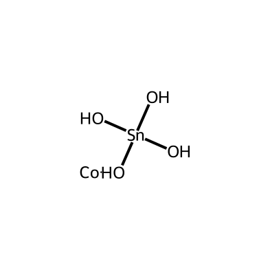 [Co].[OH][Sn]([OH])([OH])[OH]